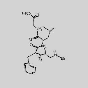 CC(C)CC(NC(=O)C(Cc1ccccc1)NC(=O)CNBr)C(=O)NCC(=O)O